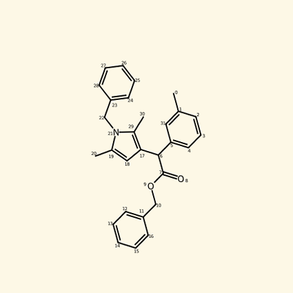 Cc1cccc(C(C(=O)OCc2ccccc2)c2cc(C)n(Cc3ccccc3)c2C)c1